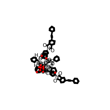 C[Si]1(c2ccc(N3C(=O)c4ccc(C#Cc5ccccc5)cc4C3=O)cc2)O[Si](O)(c2ccccc2)O[Si]2(c3ccccc3)O[Si]3(c4ccccc4)O[SiH](c4ccccc4)O[Si]4(c5ccccc5)O[Si](c5ccccc5)(O1)O[Si](c1ccccc1)(O[Si](c1ccccc1)(O[Si](C)(c1ccc(N5C(=O)c6ccc(C#Cc7ccccc7)cc6C5=O)cc1)O3)O4)O2